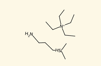 CC[N+](CC)(CC)CC.C[SiH](C)CCCN